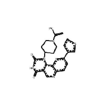 C=C(C(C)C)N1CCC(n2c(=O)[nH]c(=O)c3cnc4ccc(-c5ccsc5)nc4c32)CC1